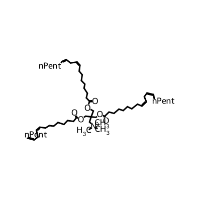 CCCCC/C=C\C/C=C\CCCCCCCC(=O)OCC(COC(=O)CCCCCCC/C=C\C/C=C\CCCCC)(COC(=O)CCCCCCC/C=C\C/C=C\CCCCC)C[N+](C)(C)C